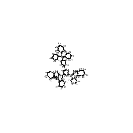 C1=Cc2nc3n(-c4cc(-n5c6ccccc6n6c7ccccc7nc56)nc(-c5ccc([Si](c6ccccc6)(c6ccccc6)c6ccccc6)cc5)n4)c4ccccc4n3c2CC1